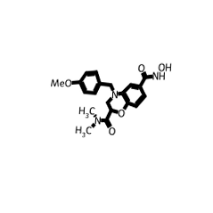 COc1ccc(CN2CC(C(=O)N(C)C)Oc3ccc(C(=O)NO)cc32)cc1